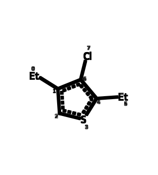 CCc1csc(CC)c1Cl